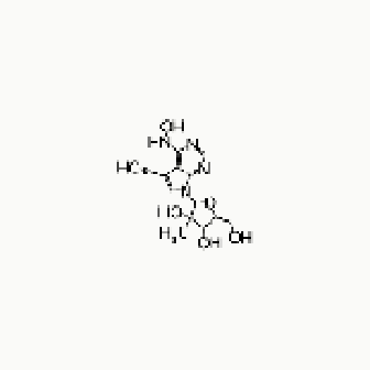 C#Cc1cn(C2OC(CO)C(O)C2(C)O)c2ncnc(NO)c12